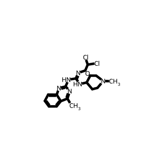 Cc1nc(N/C(=N/C(=O)C(Cl)Cl)NC2CCN(C)CC2)nc2ccccc12